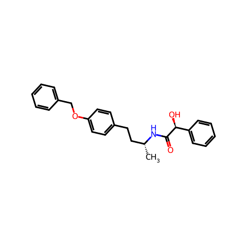 C[C@H](CCc1ccc(OCc2ccccc2)cc1)NC(=O)[C@@H](O)c1ccccc1